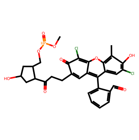 CO[PH](=O)OCC1CC(O)CC1C(=O)CCc1cc2c(-c3ccccc3C=O)c3cc(Cl)c(O)c(C)c3oc-2c(Cl)c1=O